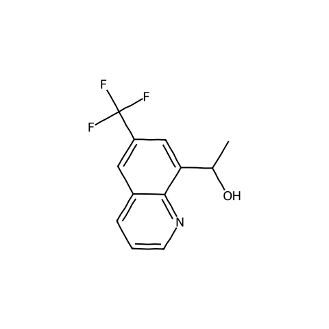 CC(O)c1cc(C(F)(F)F)cc2cccnc12